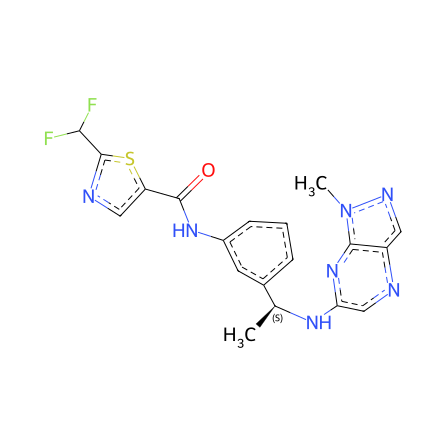 C[C@H](Nc1cnc2cnn(C)c2n1)c1cccc(NC(=O)c2cnc(C(F)F)s2)c1